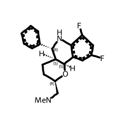 CNC[C@H]1CC[C@@H]2[C@H](O1)c1cc(F)cc(F)c1N[C@H]2c1ccccc1